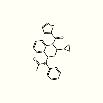 CC(=O)N(c1ccccc1)C1CC(C2CC2)N(C(=O)c2ccco2)c2ccccc21